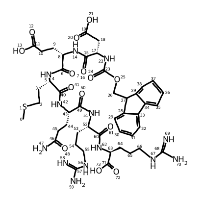 CSCC[C@H](NC(=O)[C@H](CCC(=O)O)NC(=O)[C@H](CC(=O)O)NC(=O)OCC1c2ccccc2-c2ccccc21)C(=O)N[C@@H](CCC(N)=O)C(=O)N[C@@H](CCCNC(=N)N)C(=O)N[C@@H](CCCNC(=N)N)C(=O)O